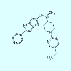 CCc1cnc(N2CCC([C@H](C)Oc3nn4cc(-c5ccncc5)nc4s3)CC2)nc1